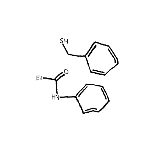 CCC(=O)Nc1ccccc1.SCc1ccccc1